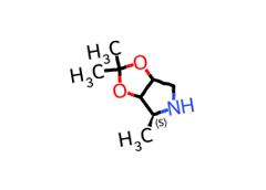 C[C@@H]1NCC2OC(C)(C)OC21